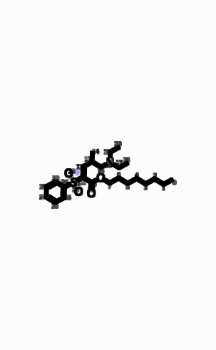 CCCCCCCCOC(=O)/C(=C\C(C)CN(CC)CC)S(=O)(=O)c1ccccc1